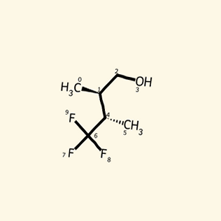 C[C@@H](CO)[C@H](C)C(F)(F)F